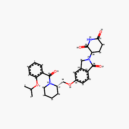 CC(C)Oc1ccccc1C(=O)N1CCCC[C@H]1COc1ccc2c(c1)CN(C1CCC(=O)NC1=O)C2=O